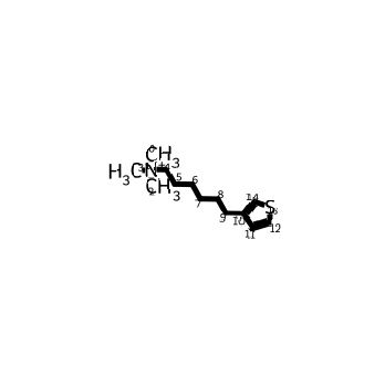 C[N+](C)(C)CCCCCCc1ccsc1